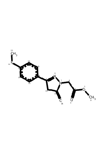 COC(=O)CN1N=C(c2ccc(SC)cc2)CC1=O